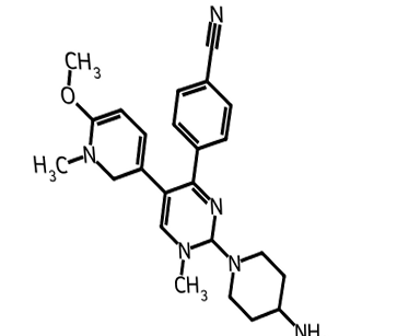 COC1=CC=C(C2=CN(C)C(N3CCC(N)CC3)N=C2c2ccc(C#N)cc2)CN1C